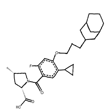 C[C@H]1C[C@@H](C(=O)O)N(C(=O)c2cc(C3CC3)c(OCCCC3CC4CCCC(C3)C4)cc2F)C1